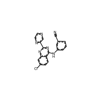 N#Cc1cccc(Nc2nc(-c3cnccn3)nc3cc(Cl)ccc23)c1